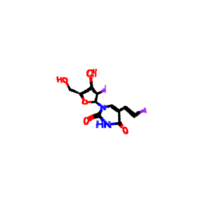 O=c1[nH]c(=O)n([C@H]2O[C@@H](CO)C(O)C2I)cc1C=CI